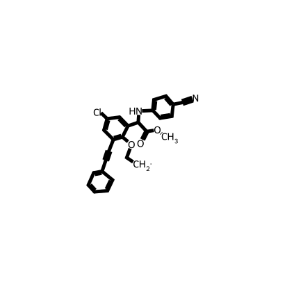 [CH2]COc1c(C#Cc2ccccc2)cc(Cl)cc1C(Nc1ccc(C#N)cc1)C(=O)OC